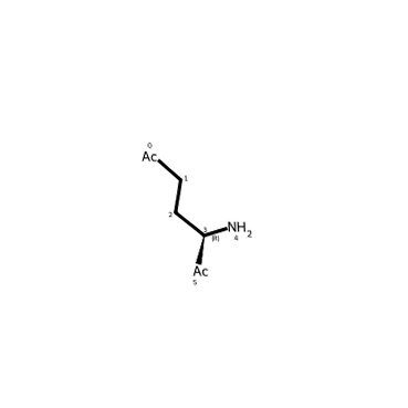 CC(=O)CC[C@@H](N)C(C)=O